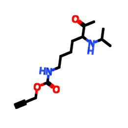 C#CCOC(=O)NCCCCC(NC(C)C)C(C)=O